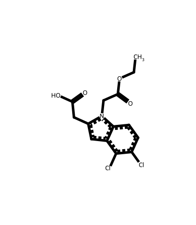 CCOC(=O)Cn1c(CC(=O)O)cc2c(Cl)c(Cl)ccc21